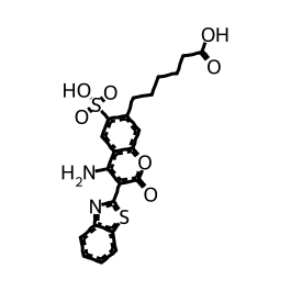 Nc1c(-c2nc3ccccc3s2)c(=O)oc2cc(CCCCCC(=O)O)c(S(=O)(=O)O)cc12